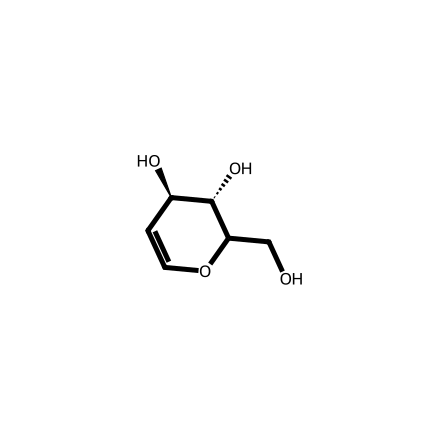 OCC1OC=C[C@@H](O)[C@@H]1O